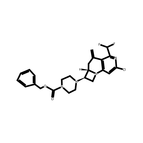 C=C1C[C@H]2[C@H](N3CCN(C(=O)OCc4ccccc4)CC3)CN2c2cc(Cl)nc(C(F)F)c21